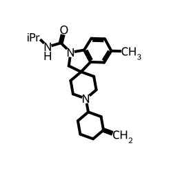 C=C1CCCC(N2CCC3(CC2)CN(C(=O)NC(C)C)c2ccc(C)cc23)C1